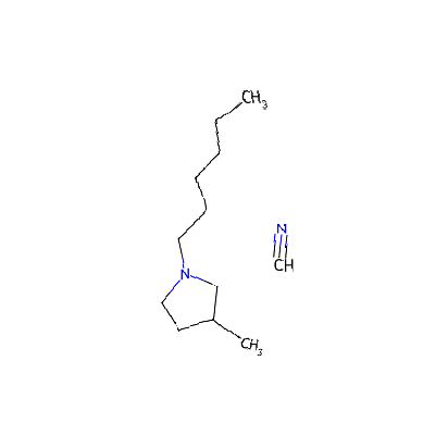 C#N.CCCCCCN1CCC(C)C1